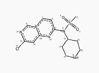 CS(=O)(=O)N(c1ccc2cnc(Cl)cc2n1)C1CCNCC1